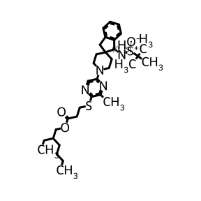 CCCCC(CC)COC(=O)CCSc1ncc(N2CCC3(CC2)Cc2ccccc2[C@H]3N[S@+]([O-])C(C)(C)C)nc1C